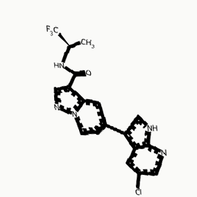 C[C@@H](NC(=O)c1cnn2ccc(-c3c[nH]c4ncc(Cl)cc34)cc12)C(F)(F)F